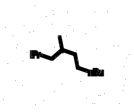 CCCCCC[C](C)CC(C)C